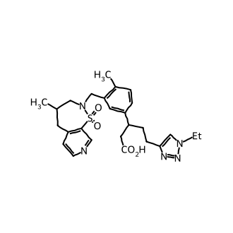 CCn1cc(CCC(CC(=O)O)c2ccc(C)c(CN3CC(C)Cc4ccncc4S3(=O)=O)c2)nn1